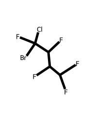 FC(F)C(F)C(F)C(F)(Cl)Br